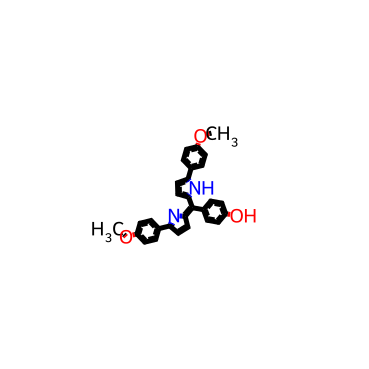 COc1ccc(C2=N/C(=C(/c3ccc(O)cc3)c3ccc(-c4ccc(OC)cc4)[nH]3)C=C2)cc1